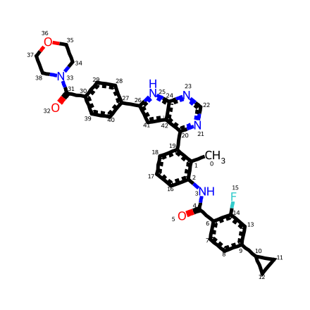 Cc1c(NC(=O)c2ccc(C3CC3)cc2F)cccc1-c1ncnc2[nH]c(-c3ccc(C(=O)N4CCOCC4)cc3)cc12